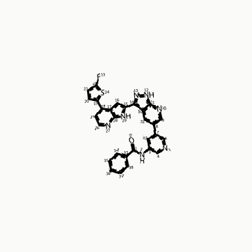 O=C(Nc1cncc(-c2cnc3[nH]nc(-c4cc5c(-c6ccc(F)s6)ccnc5[nH]4)c3c2)c1)c1ccccc1